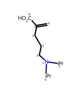 C=C(CCCN(C(C)C)C(C)C)C(=O)O